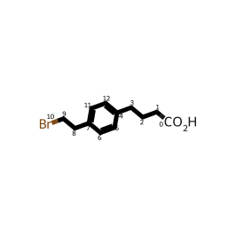 O=C(O)CCCc1ccc(CCBr)cc1